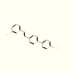 N#Cc1cccc(C=Cc2ccc(-c3ccc(C=O)cc3)cc2)c1